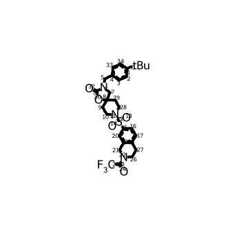 CC(C)(C)c1ccc(CN2CC3(CCN(S(=O)(=O)c4ccc5c(c4)CN(C(=O)C(F)(F)F)CC5)CC3)OC2=O)cc1